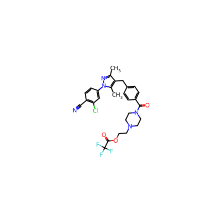 Cc1nn(-c2ccc(C#N)c(Cl)c2)c(C)c1Cc1ccc(C(=O)N2CCN(CCOC(=O)C(F)(F)F)CC2)cc1